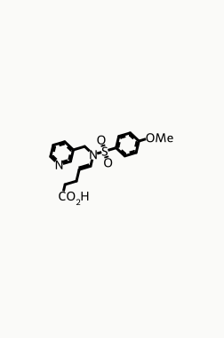 COc1ccc(S(=O)(=O)N(C=CCCC(=O)O)Cc2cccnc2)cc1